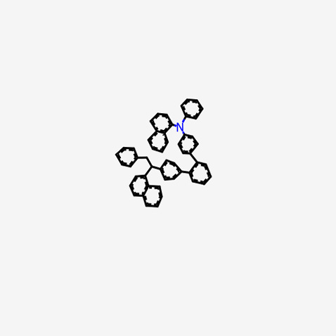 c1ccc(CC(c2ccc(-c3ccccc3-c3ccc(N(c4ccccc4)c4cccc5ccccc45)cc3)cc2)c2cccc3ccccc23)cc1